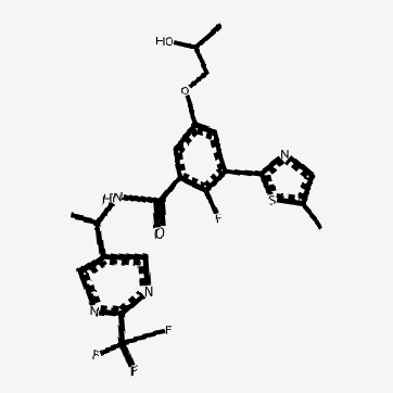 Cc1cnc(-c2cc(OCC(C)O)cc(C(=O)NC(C)c3cnc(C(F)(F)F)nc3)c2F)s1